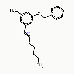 CCCCC/C=C/c1cc(C)cc(OCc2ccccc2)c1